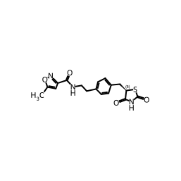 Cc1cc(C(=O)NCCc2ccc(C[C@H]3SC(=O)NC3=O)cc2)no1